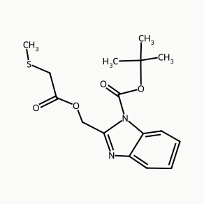 CSCC(=O)OCc1nc2ccccc2n1C(=O)OC(C)(C)C